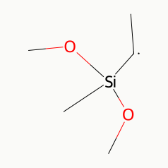 C[CH][Si](C)(OC)OC